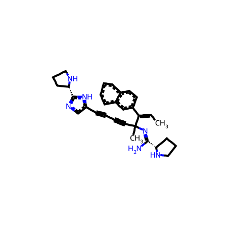 C/C=C(/c1ccc2ccccc2c1)C(C)(C#CC#Cc1cnc([C@@H]2CCCN2)[nH]1)/N=C(\N)[C@@H]1CCCN1